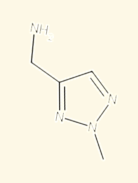 Cn1ncc(CN)n1